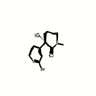 CN1CC[C@](O)(c2ccnc(Br)c2)C1=O